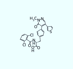 Cn1ncc(-c2ccsc2)c(-c2ccc(C[C@H](NC(=O)c3c(Cl)cccc3Cl)C(=O)O)cc2)c1=O